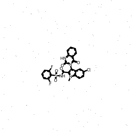 Cn1c(C(=O)NS(=O)(=O)c2c(F)cccc2F)c(-n2c(=O)[nH]c3ccccc3c2=O)c2cc(Cl)ccc21